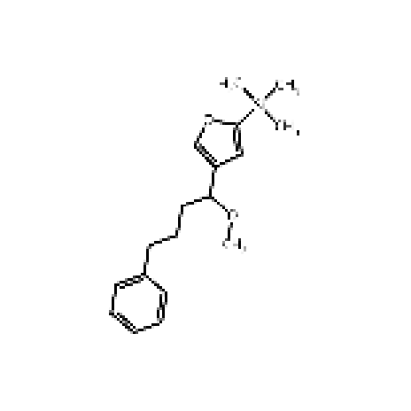 COC(CCCc1ccccc1)c1coc([Si](C)(C)C)c1